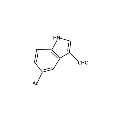 CC(=O)c1ccc2[nH]cc(C=O)c2c1